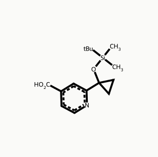 CC(C)(C)[Si](C)(C)OC1(c2cc(C(=O)O)ccn2)CC1